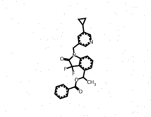 CC(OC(=O)c1ccccc1)c1cccc2c1C(F)(F)C(=O)N2Cc1cncc(C2CC2)c1